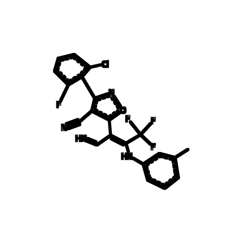 Cc1cccc(N/C(=C(\C=N)c2onc(-c3c(F)cccc3Cl)c2C#N)C(F)(F)F)c1